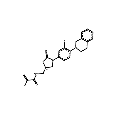 C=C(C)C(=O)NC[C@@H]1CN(c2ccc(N3CCc4ccccc4C3)c(F)c2)C(=O)O1